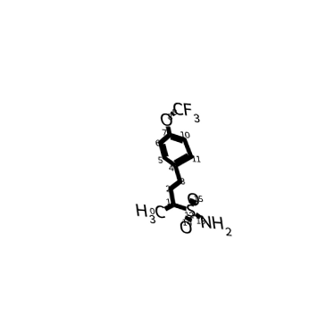 CC(CCc1ccc(OC(F)(F)F)cc1)S(N)(=O)=O